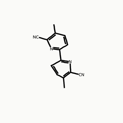 Cc1ccc(-c2ccc(C)c(C#N)n2)nc1C#N